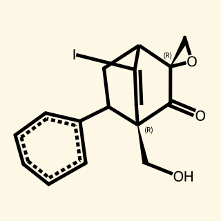 O=C1[C@@]2(CO)C=C(I)C(CC2c2ccccc2)[C@@]12CO2